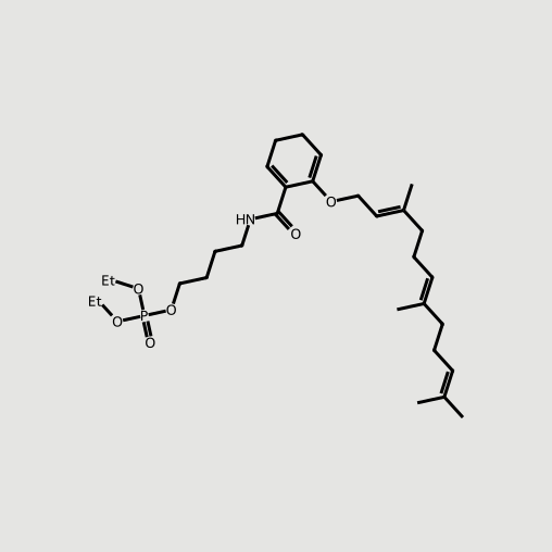 CCOP(=O)(OCC)OCCCCNC(=O)C1=CCCC=C1OC/C=C(\C)CC/C=C(\C)CCC=C(C)C